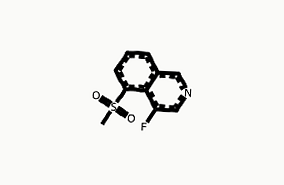 CS(=O)(=O)c1cccc2cncc(F)c12